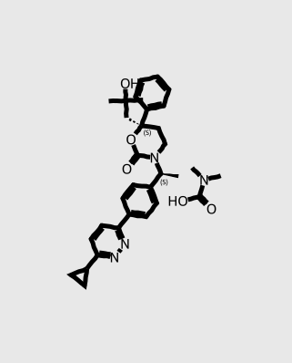 CN(C)C(=O)O.C[C@@H](c1ccc(-c2ccc(C3CC3)nn2)cc1)N1CC[C@](CC(C)(C)O)(c2ccccc2)OC1=O